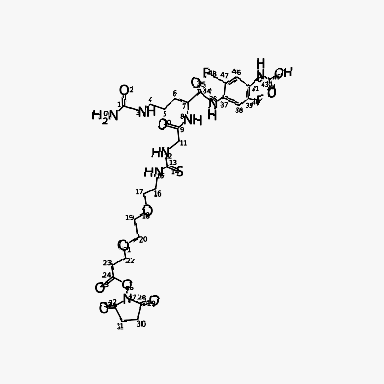 NC(=O)NCCCC(NC(=O)CNC(=S)NCCOCCOCCC(=O)ON1C(=O)CCC1=O)C(=O)Nc1cc(F)c(NC(=O)O)cc1F